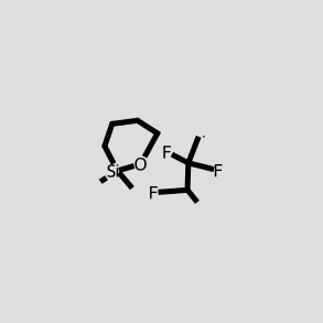 C[Si]1(C)CCCCO1.[CH2]C(F)(F)C(C)F